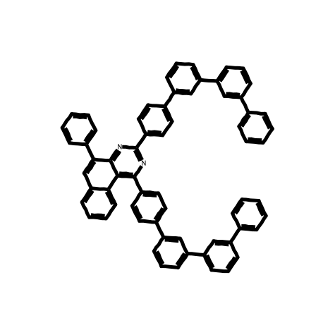 c1ccc(-c2cccc(-c3cccc(-c4ccc(-c5nc(-c6ccc(-c7cccc(-c8cccc(-c9ccccc9)c8)c7)cc6)c6c(n5)c(-c5ccccc5)cc5ccccc56)cc4)c3)c2)cc1